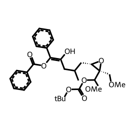 COC[C@@]1(C(OC)OC(=O)OC(C)(C)C)O[C@H]1CC(C)C/C(O)=C(\OC(=O)c1ccccc1)c1ccccc1